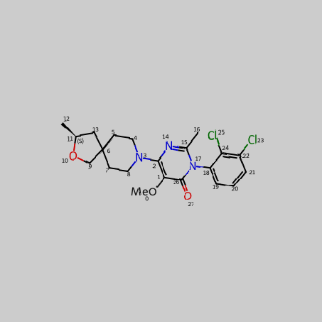 COc1c(N2CCC3(CC2)CO[C@@H](C)C3)nc(C)n(-c2cccc(Cl)c2Cl)c1=O